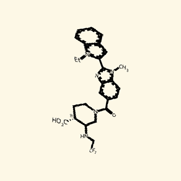 CCn1c(-c2nc3cc(C(=O)N4CC[C@@H](C(=O)O)C(NCC(F)(F)F)C4)ccc3n2C)cc2ccccc21